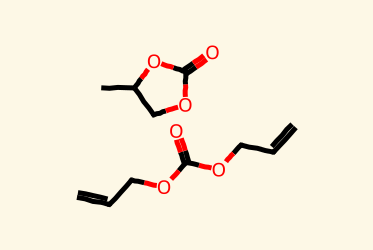 C=CCOC(=O)OCC=C.CC1COC(=O)O1